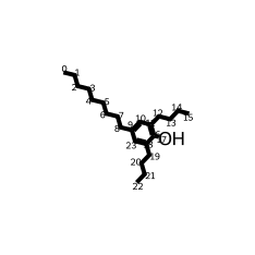 CCCCCCCCCc1cc(CCCC)c(O)c(CCCC)c1